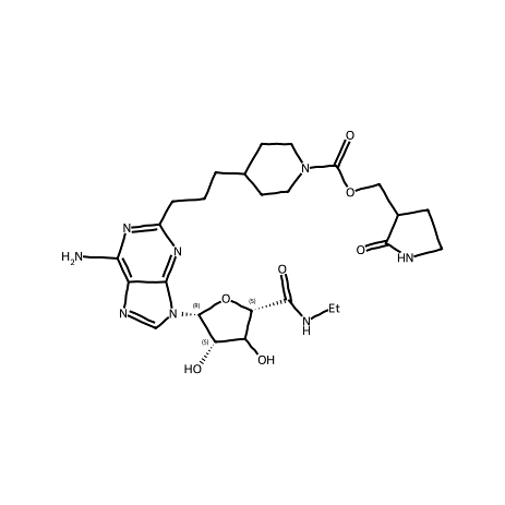 CCNC(=O)[C@H]1O[C@@H](n2cnc3c(N)nc(CCCC4CCN(C(=O)OCC5CCNC5=O)CC4)nc32)[C@@H](O)C1O